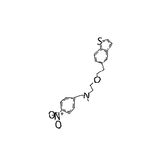 CN(CCOCCc1ccc2sccc2c1)Cc1ccc([N+](=O)[O-])cc1